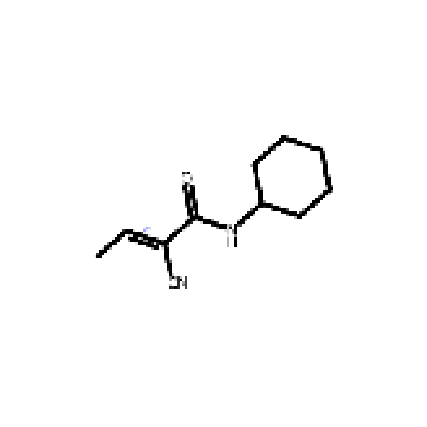 C/C=C(\C#N)C(=O)NC1CCCCC1